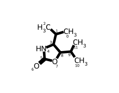 CC(C)C1NC(=O)OC1C(C)C